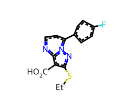 CCSc1nn2c(-c3ccc(F)cc3)ccnc2c1C(=O)O